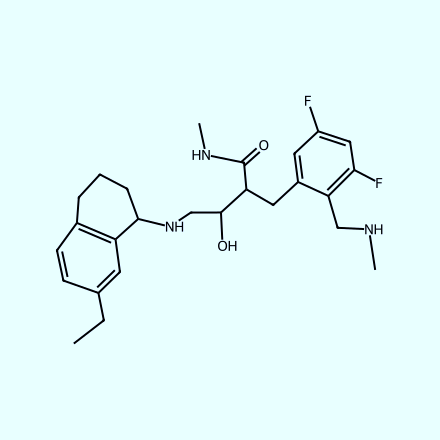 CCc1ccc2c(c1)C(NCC(O)C(Cc1cc(F)cc(F)c1CNC)C(=O)NC)CCC2